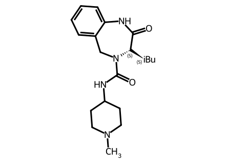 CC[C@H](C)[C@H]1C(=O)Nc2ccccc2CN1C(=O)NC1CCN(C)CC1